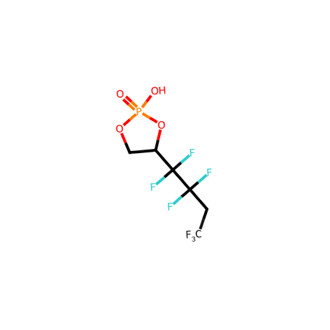 O=P1(O)OCC(C(F)(F)C(F)(F)CC(F)(F)F)O1